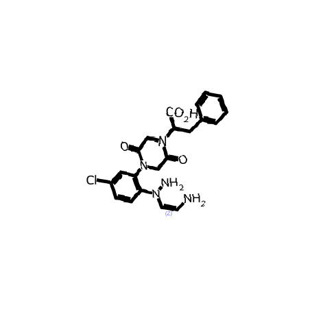 N/C=C\N(N)c1ccc(Cl)cc1N1CC(=O)N(C(Cc2ccccc2)C(=O)O)CC1=O